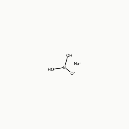 [Na+].[O-]B(O)O